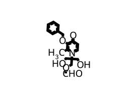 Cc1c(OCc2ccccc2)c(=O)ccn1C(CO)(CO)COC=O